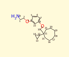 NCCOc1cccc(OCC2(C3CC3)CCCCCCC2)c1